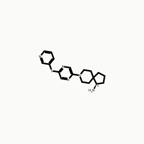 N[C@@H]1CCCC12CCN(c1cnc(Sc3cccnc3)cn1)CC2